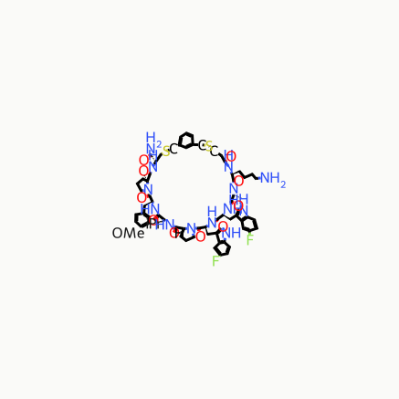 COc1ccc(C[C@@H]2NC(=O)[C@H](C(C)C)NC(=O)[C@@H]3CCCN3C(=O)[C@H](Cc3c[nH]c4ccc(F)cc34)NC(=O)[C@H](Cc3c[nH]c4ccc(F)cc34)NC(=O)[C@@H](C)NC(=O)[C@H](CCCCN)NC(=O)CCSCc3cccc(c3)CSC[C@@H](C(N)=O)NC(=O)[C@]3(C)CCCN3C2=O)cc1